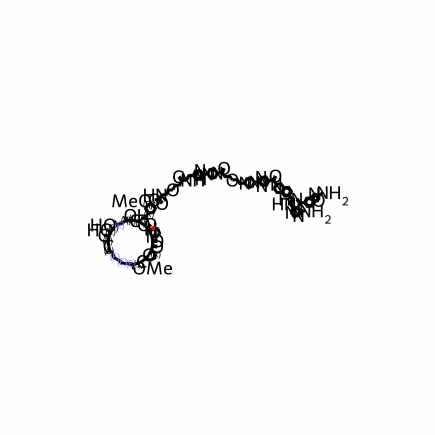 CO[C@H]1CC2CC[C@@H](C)C(O2)C(=O)C(=O)N2CCCC[C@H]2C(=O)O[C@H](CC[C@@H]2CC[C@@H](OC(=O)NCCOCCC(=O)NCc3cnc(N4CCN(C(=O)CCOCCN5CCN(c6ncc(C(=O)N7CCc8cc(CNc9ncnc(N)c9C(=N)c9ccc%10oc(N)nc%10c9)ccc8C7)cn6)CC5)CC4)nc3)[C@H](OC)C2)C[C@@H](O)[C@H](C)/C=C(\C)[C@@H](O)[C@@H](O)C(=O)[C@H](C)C[C@H](C)/C=C/C=C/C=C/1C